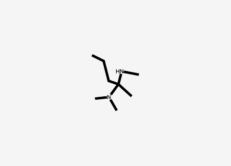 CCCC(C)(NC)N(C)C